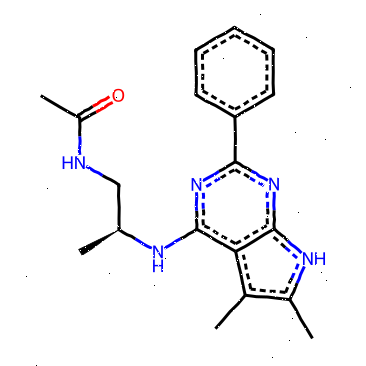 CC(=O)NC[C@H](C)Nc1nc(-c2ccccc2)nc2[nH]c(C)c(C)c12